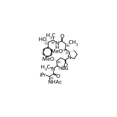 CC[C@H](C)C([C@@H](CC(=O)N1CCC[C@H]1[C@H](OC)[C@@H](C)C(=O)N[C@H](C)[C@@H](O)c1ccccc1)OC)N(C)C(=O)[C@@H](NC(C)=O)C(C)C